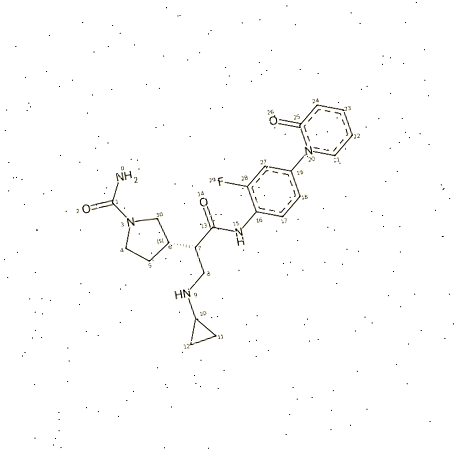 NC(=O)N1C[CH][C@@H](C(CNC2CC2)C(=O)Nc2ccc(-n3ccccc3=O)cc2F)C1